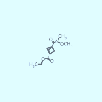 CCOC(=O)[C@]12C[C@@](C(=O)N(C)OC)(C1)C2